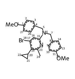 COc1ccc(CN(Cc2ccc(OC)cc2)c2cc(Br)c(C3CC3)c(C)n2)cc1